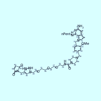 CCCCCNc1nc(N)nc2ccn(Cc3ccc(CN4CCN(C(=O)NCCOCCOCCOCCN5C=C(CN6C(=O)C=CC6=O)NN5)CC4)cc3OC)c12